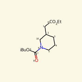 CCOC(=O)CC1CCCN(C(=O)OCC(C)C)C1